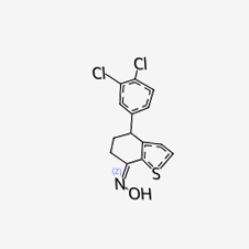 O/N=C1/CCC(c2ccc(Cl)c(Cl)c2)c2ccsc21